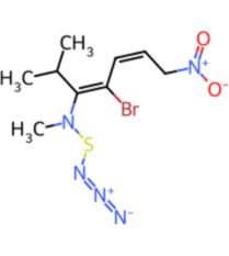 CC(C)/C(=C(Br)\C=C/C[N+](=O)[O-])N(C)SN=[N+]=[N-]